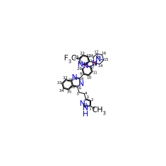 Cc1cc(CCc2nc(-c3ccc(N4CC5CC(C4)N5Cc4ccc(C(F)(F)F)nc4)nc3)nc3ccccc23)n[nH]1